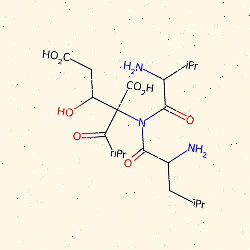 CCCC(=O)C(C(=O)O)(C(O)CC(=O)O)N(C(=O)C(N)CC(C)C)C(=O)C(N)C(C)C